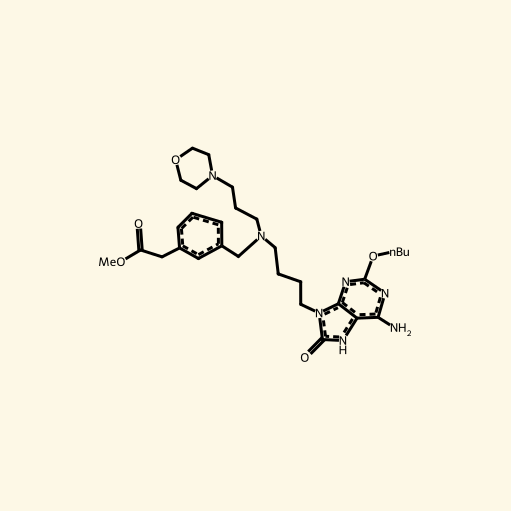 CCCCOc1nc(N)c2[nH]c(=O)n(CCCCN(CCCN3CCOCC3)Cc3cccc(CC(=O)OC)c3)c2n1